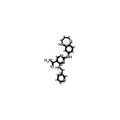 NC(=O)c1cnc(Nc2ccc3c(c2)NCCCO3)nc1NCc1cccnc1